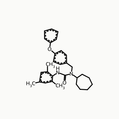 Cc1cc(C)c(NC(=O)N(Cc2ccc(Oc3ccccc3)cc2)C2CCCCCC2)c(C)c1